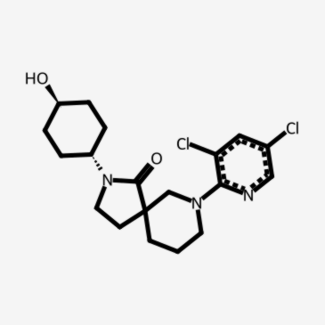 O=C1N([C@H]2CC[C@H](O)CC2)CCC12CCCN(c1ncc(Cl)cc1Cl)C2